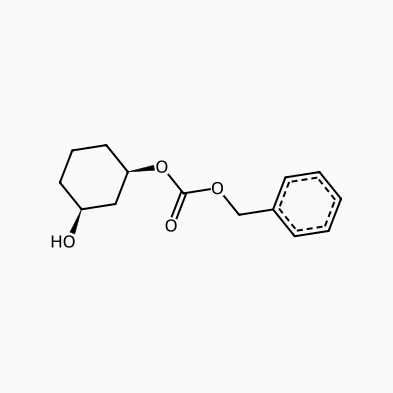 O=C(OCc1ccccc1)O[C@@H]1CCC[C@H](O)C1